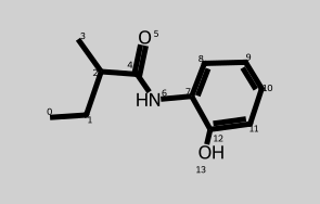 CCC(C)C(=O)Nc1ccccc1O